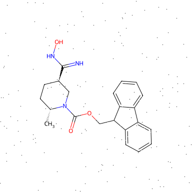 C[C@@H]1CC[C@@H](C(=N)NO)CN1C(=O)OCC1c2ccccc2-c2ccccc21